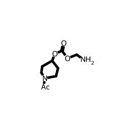 CC(=O)N1CCC(OC(=O)OCN)CC1